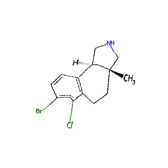 C[C@@]12CCc3c(ccc(Br)c3Cl)[C@H]1CNC2